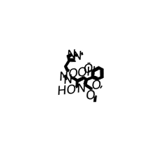 CCOCc1nc(O)c(-c2nnc(Cc3cnn(C)c3)o2)c(O)c1-c1c(OC)cccc1OC